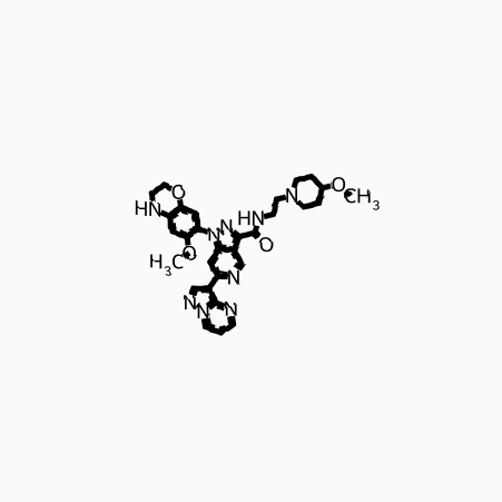 COc1cc2c(cc1-n1nc(C(=O)NCCN3CCC(OC)CC3)c3cnc(-c4cnn5cccnc45)cc31)OCCN2